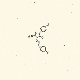 NC1=C(OSCc2ccc(F)cc2)C(=O)C(c2ccc(Cl)cc2)O1